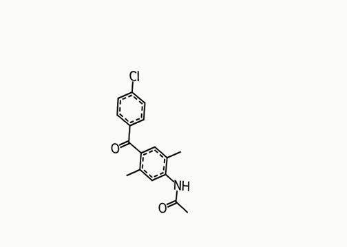 CC(=O)Nc1cc(C)c(C(=O)c2ccc(Cl)cc2)cc1C